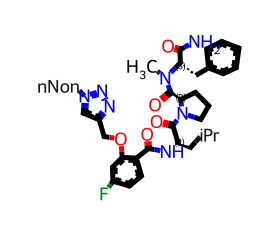 CCCCCCCCCn1cc(COc2cc(F)ccc2C(=O)N[C@H](CC(C)C)C(=O)N2CCC[C@@H]2C(=O)N(C)[C@@H](Cc2ccccc2)C(N)=O)nn1